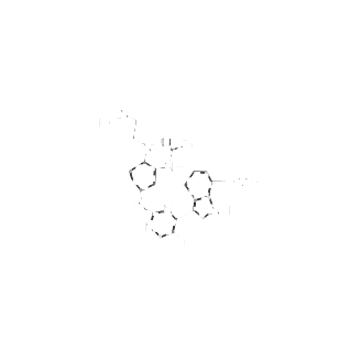 CCC(=O)Nc1cc(Nc2ncc(C(F)(F)F)c(-c3c[nH]c4c(OC)cccc34)n2)ccc1N(C)CCN(C)C